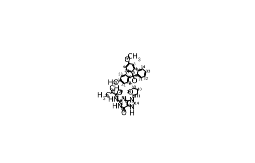 COc1ccc(C(OC[C@@H]2CC[C@H](N3CNc4c3nc(NC(=O)C(C)C)[nH]c4=O)O2)(c2ccccc2)c2ccc(O)cc2)cc1